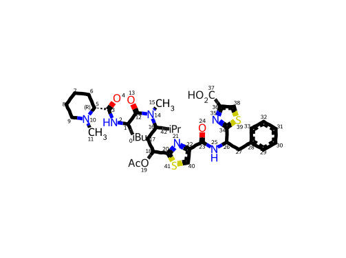 CCC(C)C(NC(=O)[C@H]1CCCCN1C)C(=O)N(C)C(CC(OC(C)=O)c1nc(C(=O)NC(Cc2ccccc2)c2nc(C(=O)O)cs2)cs1)C(C)C